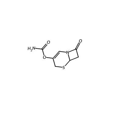 NC(=O)OC1=CN2C(=O)CC2SC1